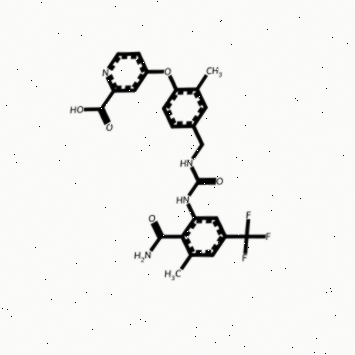 Cc1cc(CNC(=O)Nc2cc(C(F)(F)F)cc(C)c2C(N)=O)ccc1Oc1ccnc(C(=O)O)c1